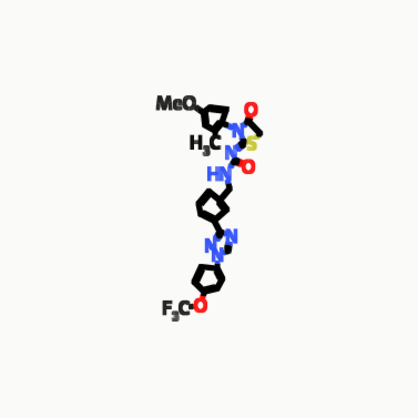 COc1ccc(N2C(=O)CS/C2=N\C(=O)NCc2cccc(-c3ncn(-c4ccc(OC(F)(F)F)cc4)n3)c2)c(C)c1